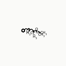 CC(C)=COC(=O)C1C(Cc2coc(Cc3ccccc3)c2)C1(C)C